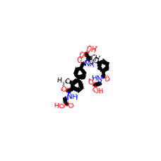 CC(NC(=O)c1ccccc1)C(=O)O.Cc1cccc(C(=O)NCC(=O)O)c1.Cc1ccccc1C(=O)NCC(=O)O